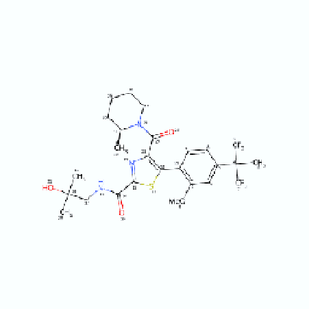 COc1cc(C(C)(C(F)(F)F)C(F)(F)F)ccc1-c1sc(C(=O)NCC(C)(C)O)nc1C(=O)N1CCCC[C@@H]1C